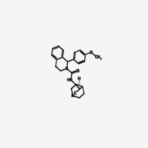 COc1ccc(C2c3ccccc3CCN2C(=O)N[C@@H]2CN3CCC2CC3)cc1